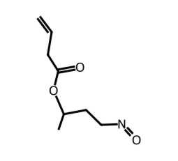 C=CCC(=O)OC(C)CCN=O